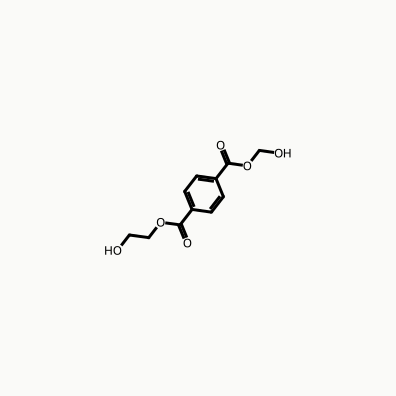 O=C(OCO)c1ccc(C(=O)OCCO)cc1